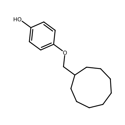 Oc1ccc(OCC2CCCCCCCC2)cc1